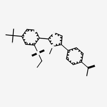 CCS(=O)(=O)c1cc(C(F)(F)F)cnc1-c1ncc(-c2ccc(C(C)=O)cc2)n1C